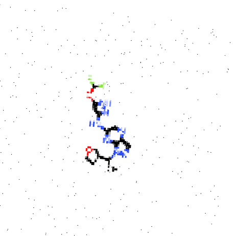 C[C@@H]([C@H]1CCOC1)n1ncc2ncc(Nc3cc(OC(F)F)[nH]n3)nc21